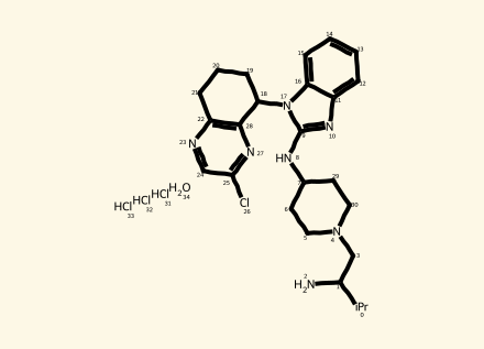 CC(C)C(N)CN1CCC(Nc2nc3ccccc3n2C2CCCc3ncc(Cl)nc32)CC1.Cl.Cl.Cl.O